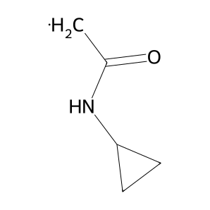 [CH2]C(=O)NC1CC1